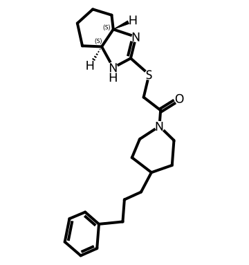 O=C(CSC1=N[C@H]2CCCC[C@@H]2N1)N1CCC(CCCc2ccccc2)CC1